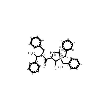 CC(c1ccccc1)N(Cc1ccccc1)C(=O)C1NC(=O)[N+](Cc2ccccc2)(Cc2ccccc2)C1C(=O)O